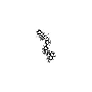 C[C@@H](c1nc2ncc(-c3ccc4c(c3)CN(c3ncnc5c3CC(C)(C)CC5)CCO4)cc2[nH]1)N(Cc1ccccc1)C(=O)O